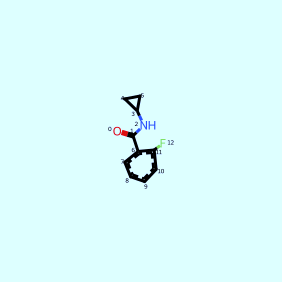 O=C(NC1CC1)c1ccccc1F